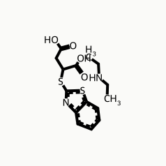 CCNCC.O=C(O)CC(Sc1nc2ccccc2s1)C(=O)O